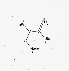 C=C(C(CCC)CNC)C(C)(C)C